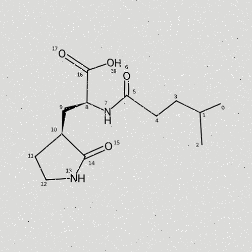 CC(C)CCC(=O)N[C@@H](C[C@@H]1CCNC1=O)C(=O)O